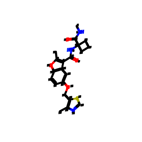 CNC(=O)C1(NC(=O)c2c(C)oc3ccc(OCc4scnc4C)cc23)CCC1